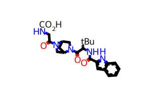 CC(C)(C)C(NC(=O)c1cc2ccccc2[nH]1)C(=O)N1CC2CC1CN2C(=O)CNC(=O)O